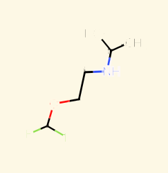 CC(C)NCCOC(F)F